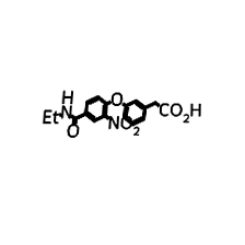 CCNC(=O)c1ccc(Oc2cccc(CC(=O)O)c2)c([N+](=O)[O-])c1